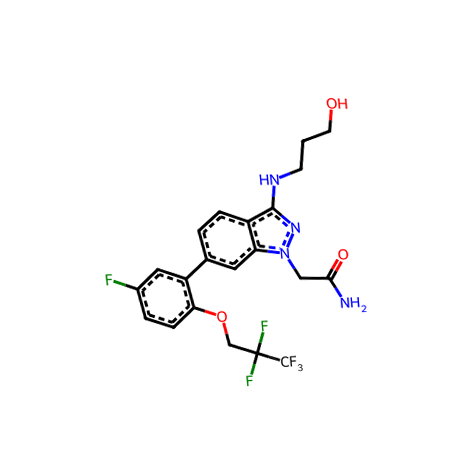 NC(=O)Cn1nc(NCCCO)c2ccc(-c3cc(F)ccc3OCC(F)(F)C(F)(F)F)cc21